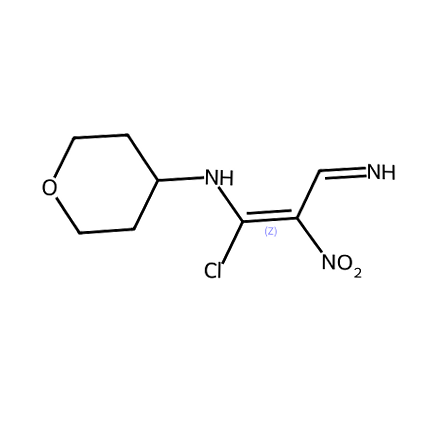 N=C/C(=C(/Cl)NC1CCOCC1)[N+](=O)[O-]